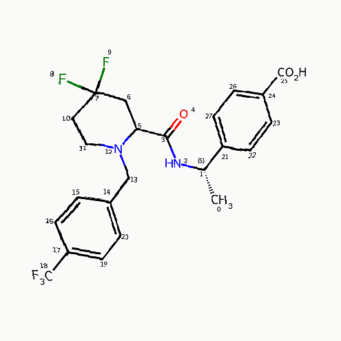 C[C@H](NC(=O)C1CC(F)(F)CCN1Cc1ccc(C(F)(F)F)cc1)c1ccc(C(=O)O)cc1